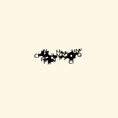 CNC(=O)c1ccc(C[C@@H](CNC(=O)C[C@@H](c2cncc(Cl)c2)C2(C(F)(F)F)CC2)N(C)C)c(Cl)c1